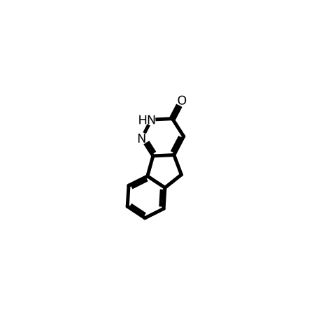 O=c1cc2c(n[nH]1)-c1ccccc1C2